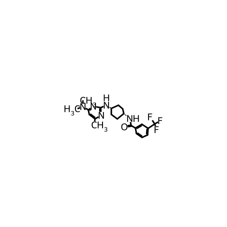 Cc1cc(N(C)C)nc(N[C@H]2CC[C@@H](NC(=O)c3cccc(C(F)(F)F)c3)CC2)n1